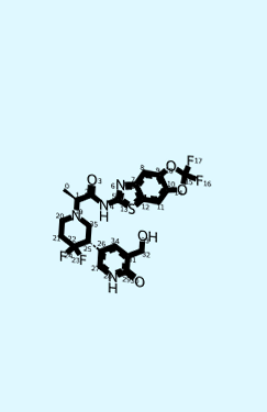 C[C@@H](C(=O)Nc1nc2cc3c(cc2s1)OC(F)(F)O3)N1CCC(F)(F)[C@@H](c2c[nH]c(=O)c(CO)c2)C1